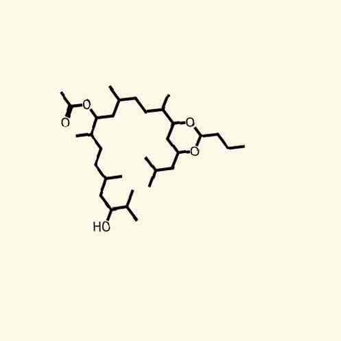 CCCC1OC(CC(C)C)CC(C(C)CCC(C)CC(OC(C)=O)C(C)CCC(C)CC(O)C(C)C)O1